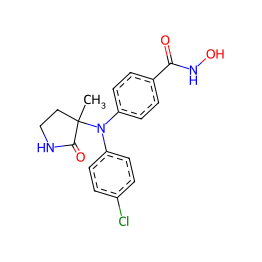 CC1(N(c2ccc(Cl)cc2)c2ccc(C(=O)NO)cc2)CCNC1=O